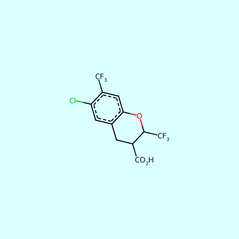 O=C(O)C1Cc2cc(Cl)c(C(F)(F)F)cc2OC1C(F)(F)F